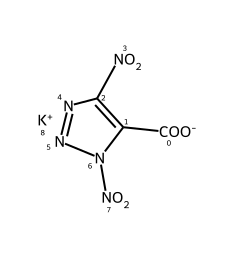 O=C([O-])c1c([N+](=O)[O-])nnn1[N+](=O)[O-].[K+]